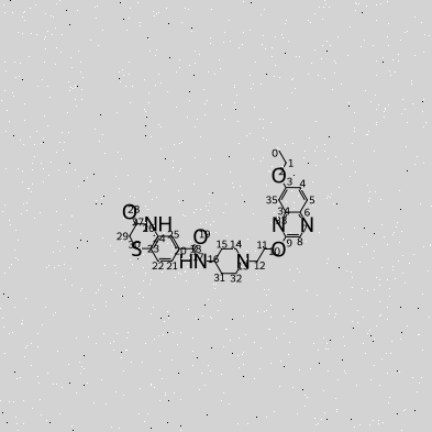 CCOc1ccc2ncc(OCCN3CCC(NC(=O)c4ccc5c(c4)NC(=O)CS5)CC3)nc2c1